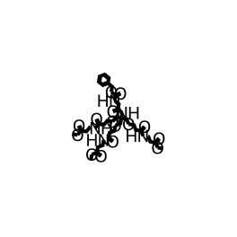 COC(=O)CCNC(=O)CCOCC(COCCC(=O)NCCC(=O)OC)(COCCC(=O)NCCC(=O)OC)NC(=O)CNC(=O)OCc1ccccc1